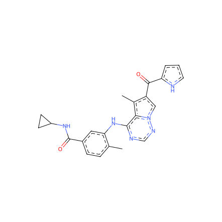 Cc1ccc(C(=O)NC2CC2)cc1Nc1ncnn2cc(C(=O)c3ccc[nH]3)c(C)c12